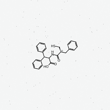 O=C(O)C(NC(=O)[C@@H](CS)Cc1ccccc1)C(c1ccccc1)c1ccccc1